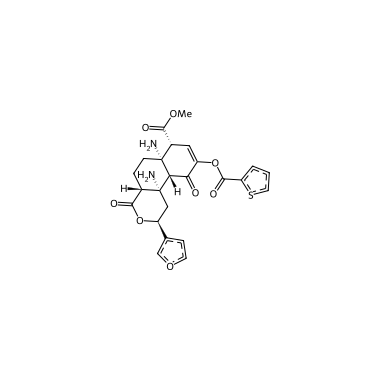 COC(=O)[C@@H]1C=C(OC(=O)c2cccs2)C(=O)[C@H]2[C@@]1(N)CC[C@H]1C(=O)O[C@H](c3ccoc3)C[C@]21N